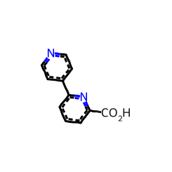 O=C(O)c1cccc(-c2ccncc2)n1